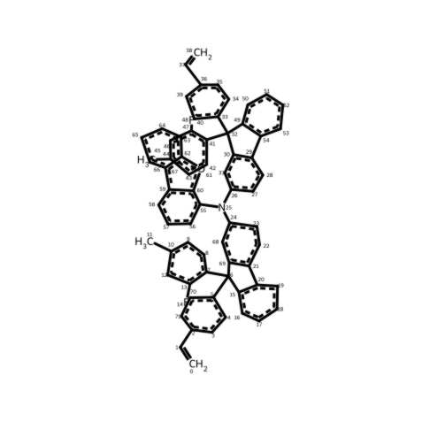 C=Cc1ccc(C2(c3ccc(C)cc3F)c3ccccc3-c3ccc(N(c4ccc5c(c4)C(c4ccc(C=C)cc4)(c4ccc(C)cc4F)c4ccccc4-5)c4cccc5c4oc4ccccc45)cc32)cc1